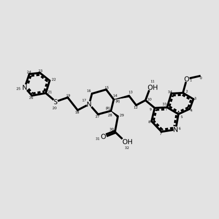 COc1ccc2nccc(C(O)CC[C@@H]3CCN(CCSc4cccnc4)C[C@@H]3CC(=O)O)c2c1